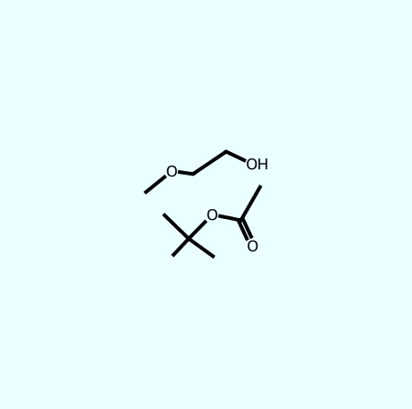 CC(=O)OC(C)(C)C.COCCO